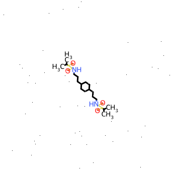 CC(C)S(=O)(=O)NCCCC1CCC(CCCNS(=O)(=O)C(C)C)CC1